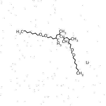 CCCCCCCOCOCCCC(C)C[CH](C)[Cu][CH](C)CC(C)CCCOCOCCCCCCC.[Li]